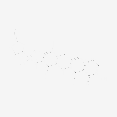 Cn1cnc2ccc(Nc3c(F)c(F)cc(NS(=O)(=O)N4CCC(F)C4)c3Cl)c(F)c2c1=O